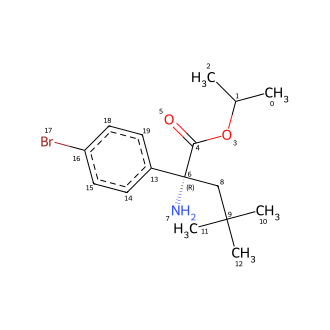 CC(C)OC(=O)[C@@](N)(CC(C)(C)C)c1ccc(Br)cc1